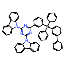 c1ccc(-c2cccc([Si](c3ccccc3)(c3ccccc3)c3cccc(-c4nc(-n5c6ccccc6c6ccccc65)nc(-n5c6ccccc6c6ccccc65)n4)c3)c2)cc1